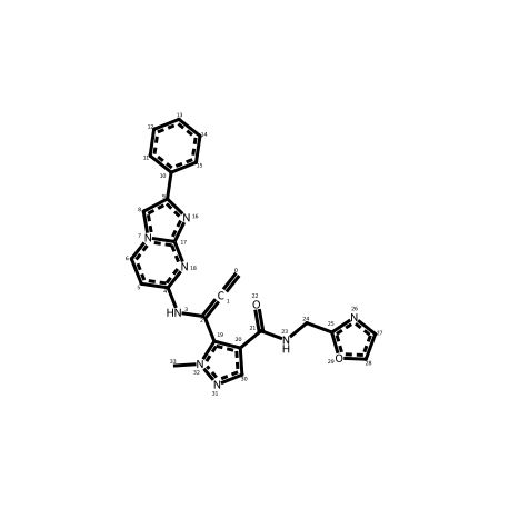 C=C=C(Nc1ccn2cc(-c3ccccc3)nc2n1)c1c(C(=O)NCc2ncco2)cnn1C